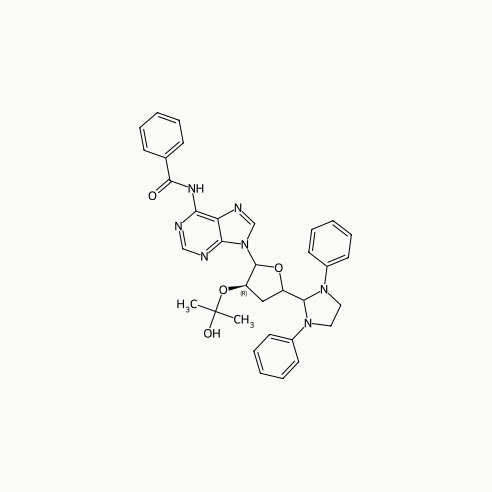 CC(C)(O)O[C@@H]1CC(C2N(c3ccccc3)CCN2c2ccccc2)OC1n1cnc2c(NC(=O)c3ccccc3)ncnc21